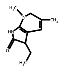 CCC1C(=O)NC2=C1C=C(C)CN2C